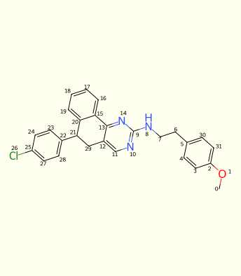 COc1ccc(CCNc2ncc3c(n2)-c2ccccc2C(c2ccc(Cl)cc2)C3)cc1